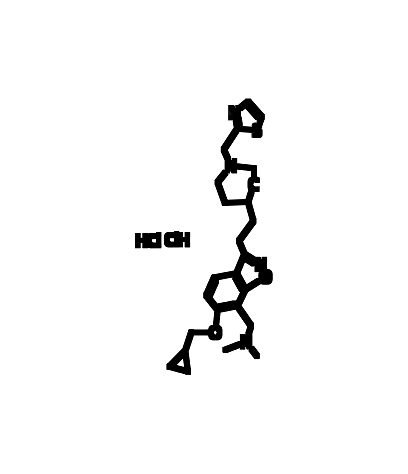 CN(C)Cc1c(OCC2CC2)ccc2c(CCC3CCN(Cc4nccs4)CC3)noc12.Cl.Cl